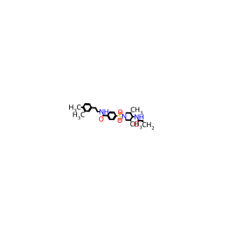 C=CC(=O)NC1C(C)CN(S(=O)(=O)c2ccc(C(=O)NCCc3ccc(C)c(C)c3)cc2)CC1C